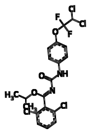 CC(C)OC(=NC(=O)Nc1ccc(OC(F)(F)C(Cl)Cl)cc1)c1c(Cl)cccc1Cl